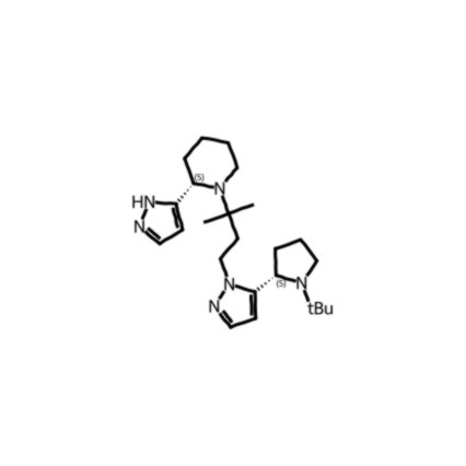 CC(C)(C)N1CCC[C@H]1c1ccnn1CCC(C)(C)N1CCCC[C@H]1c1ccn[nH]1